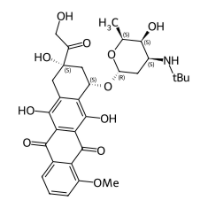 COc1cccc2c1C(=O)c1c(O)c3c(c(O)c1C2=O)C[C@@](O)(C(=O)CO)C[C@@H]3O[C@H]1C[C@H](NC(C)(C)C)[C@H](O)[C@H](C)O1